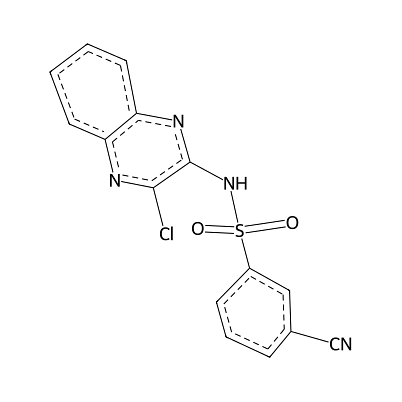 N#Cc1cccc(S(=O)(=O)Nc2nc3ccccc3nc2Cl)c1